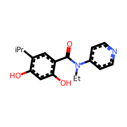 CCN(C(=O)c1cc(C(C)C)c(O)cc1O)c1ccncc1